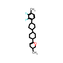 Cc1ccc(C2CCC(C3CCC(C4=CCC(C)CO4)CC3)CC2)c(F)c1F